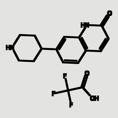 O=C(O)C(F)(F)F.O=c1ccc2ccc(C3CCNCC3)cc2[nH]1